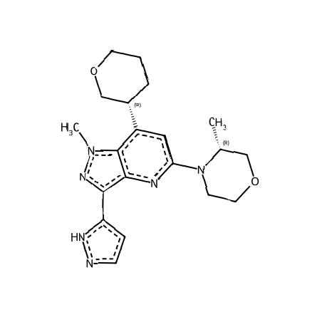 C[C@@H]1COCCN1c1cc([C@H]2CCCOC2)c2c(n1)c(-c1ccn[nH]1)nn2C